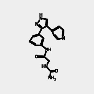 NC(=O)NCC(=O)Nc1cccc(-c2n[nH]cc2-c2ccncc2)c1